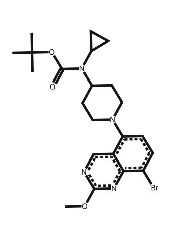 COc1ncc2c(N3CCC(N(C(=O)OC(C)(C)C)C4CC4)CC3)ccc(Br)c2n1